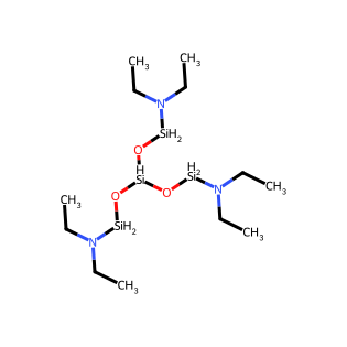 CCN(CC)[SiH2]O[SiH](O[SiH2]N(CC)CC)O[SiH2]N(CC)CC